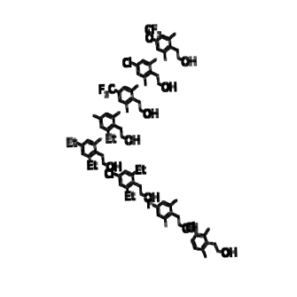 CCc1cc(C)c(CCO)c(CC)c1.CCc1cc(C)cc(C)c1CCO.CCc1cc(Cl)cc(CC)c1CCO.Cc1cc(C(F)(F)F)cc(C)c1CCO.Cc1cc(Cl)cc(C)c1CCO.Cc1cc(F)cc(C)c1CCO.Cc1cc(OC(F)(F)F)cc(C)c1CCO.Cc1ccc(Cl)c(C)c1CCO